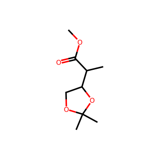 COC(=O)C(C)C1COC(C)(C)O1